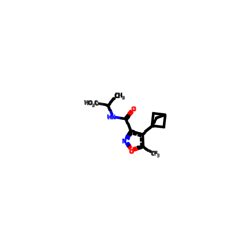 CC(NC(=O)c1noc(C(F)(F)F)c1C12CC(C1)C2)C(=O)O